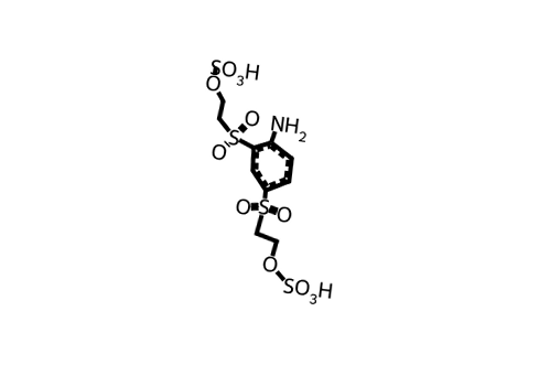 Nc1ccc(S(=O)(=O)CCOS(=O)(=O)O)cc1S(=O)(=O)CCOS(=O)(=O)O